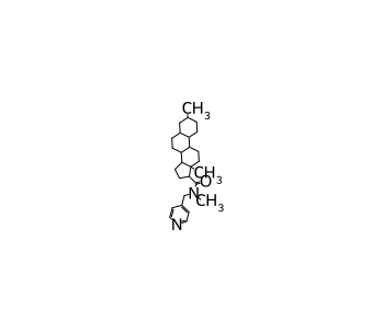 CC1CCC2C(CCC3C2CCC2(C)C(C(=O)N(C)Cc4ccncc4)CCC32)C1